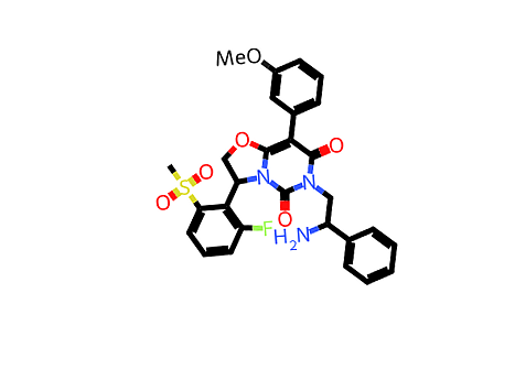 COc1cccc(-c2c3n(c(=O)n(CC(N)c4ccccc4)c2=O)C(c2c(F)cccc2S(C)(=O)=O)CO3)c1